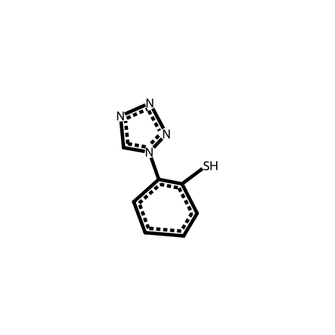 Sc1ccccc1-n1cnnn1